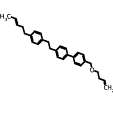 C=CCCOCc1ccc(-c2ccc(CCc3ccc(CC/C=C/C)cc3)cc2)cc1